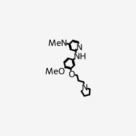 CNc1ccnc(Nc2ccc(OC)c(OCCCN3CCCC3)c2)c1